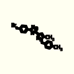 Cc1ccc(Cn2nc(-c3nc(-c4ccc(CBr)cc4)no3)cc2C)cc1